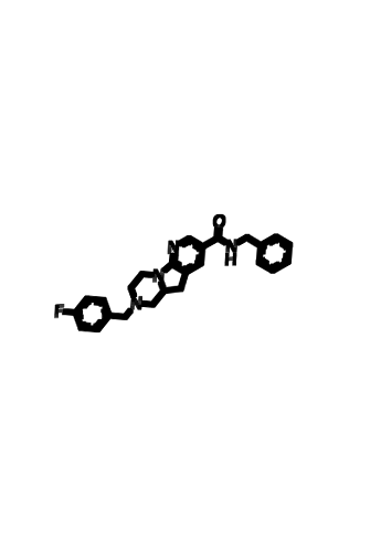 O=C(NCc1ccccc1)c1cnc2c(c1)CC1CN(Cc3ccc(F)cc3)CCN21